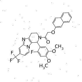 COc1cc(F)c(C2c3c(nc4cc(C(F)(F)F)ccn34)CCN2C(=O)COc2ccc3ccccc3c2)cc1OC